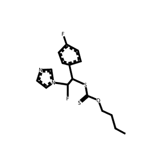 CCCCOC(=S)SC(c1ccc(F)cc1)C(F)n1ccnc1